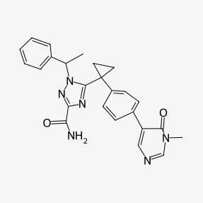 CC(c1ccccc1)n1nc(C(N)=O)nc1C1(c2ccc(-c3cncn(C)c3=O)cc2)CC1